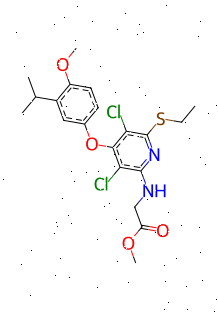 CCSc1nc(NCC(=O)OC)c(Cl)c(Oc2ccc(OC)c(C(C)C)c2)c1Cl